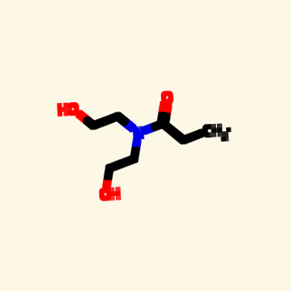 [CH2]CC(=O)N(CCO)CCO